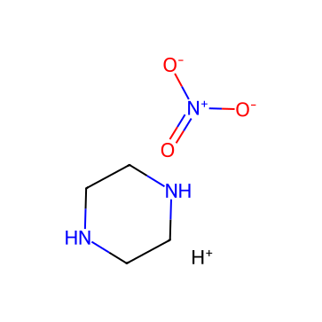 C1CNCCN1.O=[N+]([O-])[O-].[H+]